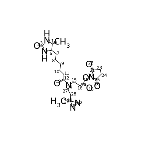 CC1NC(=O)NC1CCCCCC(=O)N(CCC(=O)ON1C(=O)CCC1=O)CCC1(C)N=N1